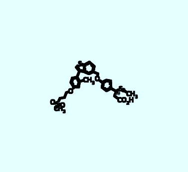 CC#S[C@@H](CC(=O)O)c1ccc(OCc2ccc3scc(-c4ccc(OCCCS(C)(=O)=O)cc4C)c3c2)cc1